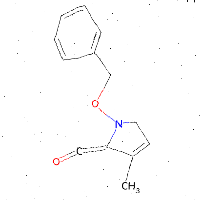 CC1=CCN(OCc2ccccc2)C1=C=O